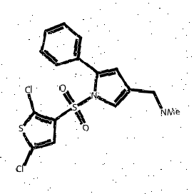 CNCc1cc(-c2ccccc2)n(S(=O)(=O)c2cc(Cl)sc2Cl)c1